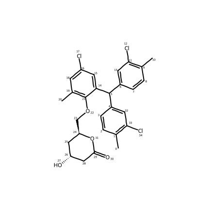 Cc1ccc(C(c2ccc(C)c(Cl)c2)c2cc(Cl)cc(C)c2OC[C@@H]2C[C@@H](O)CC(=O)O2)cc1Cl